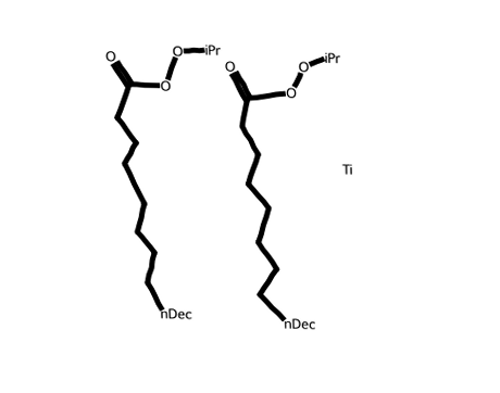 CCCCCCCCCCCCCCCCCC(=O)OOC(C)C.CCCCCCCCCCCCCCCCCC(=O)OOC(C)C.[Ti]